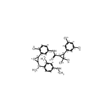 CNc1ccc(N(C)C2OC2c2cc(NC(=O)C3C(c4cc(Cl)cc(Cl)c4)C3(Cl)Cl)ccc2Cl)c(C)c1